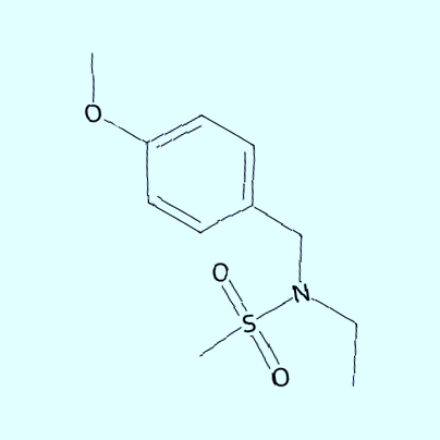 CCN(Cc1ccc(OC)cc1)S(C)(=O)=O